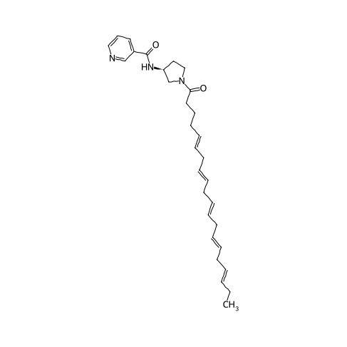 CCC=CCC=CCC=CCC=CCC=CCCCC(=O)N1CC[C@H](NC(=O)c2cccnc2)C1